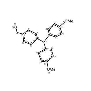 COc1ccc(P(c2ccc(CO)cc2)c2ccc(OC)cc2)cc1